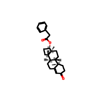 C[C@]12CC[C@H]3[C@@H](CCC4=CC(=O)CC[C@@]43C)[C@@H]1CC[C@@H]2OC(=O)Cc1ccccc1